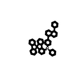 c1ccc(-c2cccc3c(-c4ccc(N(c5ccccc5)c5cccc6c5-c5ccccc5C65c6ccccc6-c6ccccc65)cc4)cccc23)cc1